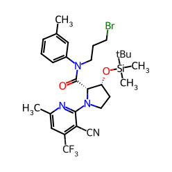 Cc1cccc(N(CCCBr)C(=O)[C@@H]2[C@H](O[Si](C)(C)C(C)(C)C)CCN2c2nc(C)cc(C(F)(F)F)c2C#N)c1